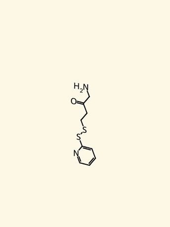 NCC(=O)CCSSc1ccccn1